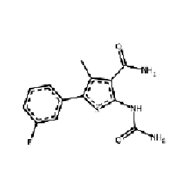 Cc1c(-c2cccc(F)c2)sc(NC(N)=O)c1C(N)=O